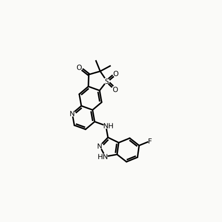 CC1(C)C(=O)c2cc3nccc(Nc4n[nH]c5ccc(F)cc45)c3cc2S1(=O)=O